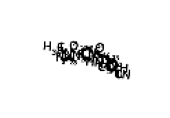 Cc1ncc2n1C(=O)N(C1CCN(C(=O)[C@@H](Cc3ccc(C#N)cc3)NC(=O)O)CC1)C2